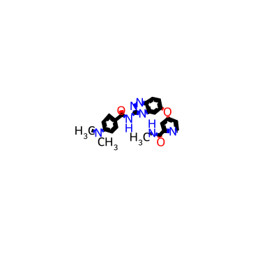 CNC(=O)c1cc(Oc2ccc3nnc(NC(=O)c4ccc(N(C)C)cc4)nc3c2)ccn1